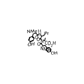 CNC(Cc1ccc(O)cc1)C(=O)NC(CC(C)C)C(=O)N(C(=O)C(Cc1ccc(O)cc1)NC)C(C)C(=O)O